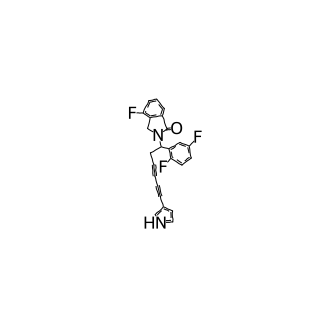 O=C1c2cccc(F)c2CN1C(CC#CC#Cc1cc[nH]c1)c1cc(F)ccc1F